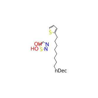 CCCCCCCCCCCCCCCCCCc1cccs1.OO.c1csnn1